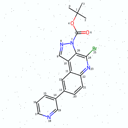 CC(C)(C)OC(=O)n1ncc2c3cc(-c4cccnc4)ccc3nc(Br)c21